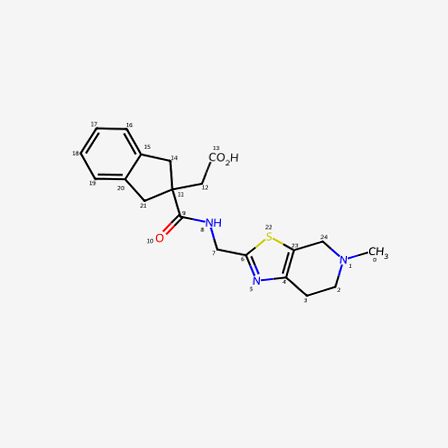 CN1CCc2nc(CNC(=O)C3(CC(=O)O)Cc4ccccc4C3)sc2C1